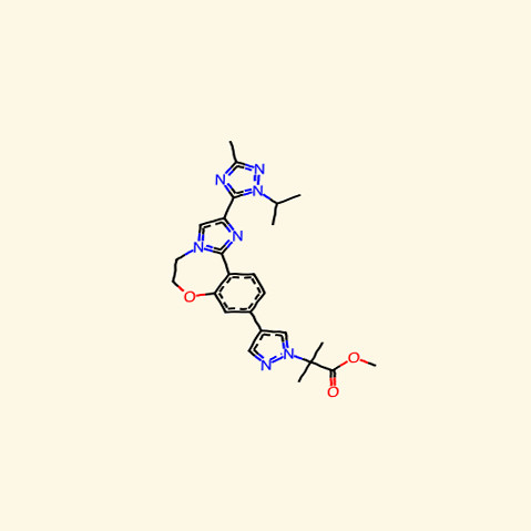 COC(=O)C(C)(C)n1cc(-c2ccc3c(c2)OCCn2cc(-c4nc(C)nn4C(C)C)nc2-3)cn1